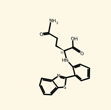 NC(=O)CC[C@H](Nc1ccccc1-c1nc2ccccc2s1)C(=O)O